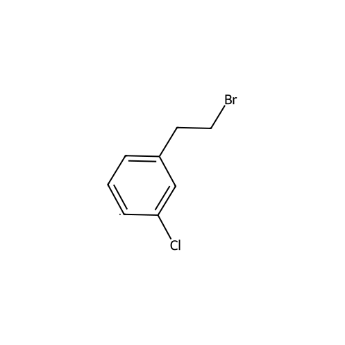 Clc1[c]ccc(CCBr)c1